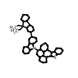 CCC1(CC)c2ccccc2-c2ccc(-c3ccc4c(c3)c3ccccc3n4-c3cc4cccc5c6sc7ccccc7c6c6cccc3c6c45)cc21